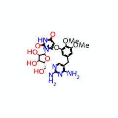 COc1cc(Cc2cnc(N)nc2N)cc(OC)c1OC.O=c1ccn([C@@H]2O[C@H](CO)[C@@H](O)[C@H]2O)c(=O)[nH]1